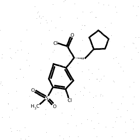 CS(=O)(=O)c1ccc([C@@H](CC2CCCC2)C(=O)Cl)cc1Cl